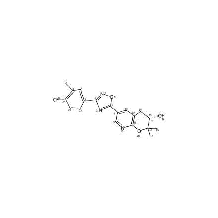 Cc1cc(-c2noc(-c3cnc4c(c3)C[C@H](O)C(C)(C)O4)n2)ccc1Cl